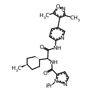 Cc1noc(C)c1-c1ccc(NC(=O)[C@@H](NC(=O)c2ccnn2C(C)C)[C@H]2CC[C@H](C)CC2)nc1